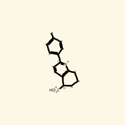 Cc1ccc(-c2ccc3c(n2)CCCC3C(=O)O)cc1